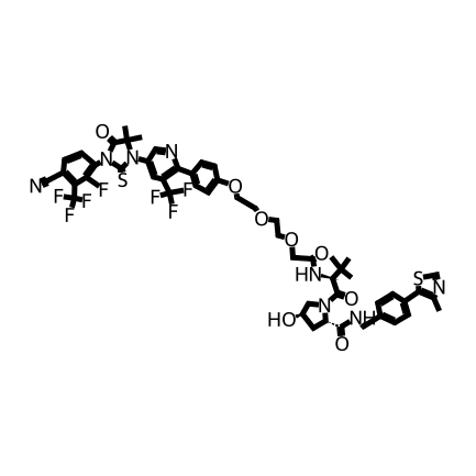 Cc1ncsc1-c1ccc(CNC(=O)[C@@H]2C[C@@H](O)CN2C(=O)[C@@H](NC(=O)COCCOCCOc2ccc(-c3ncc(N4C(=S)N(c5ccc(C#N)c(C(F)(F)F)c5F)C(=O)C4(C)C)cc3C(F)(F)F)cc2)C(C)(C)C)cc1